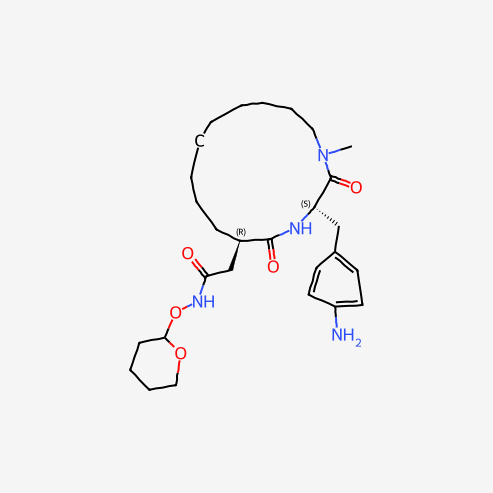 CN1CCCCCCCCC[C@H](CC(=O)NOC2CCCCO2)C(=O)N[C@@H](Cc2ccc(N)cc2)C1=O